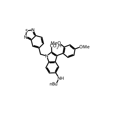 CCCCNc1ccc2c(c1)c(-c1ccc(OC)cc1OC)c(C(=O)O)n2Cc1ccc2nsnc2c1